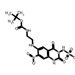 CC(C)(C)OC(=O)NCCNc1cc2c(=O)n(NS(C)(=O)=O)c(=O)[nH]c2cc1[N+](=O)[O-]